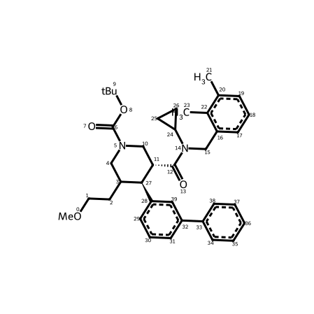 COCCC1CN(C(=O)OC(C)(C)C)C[C@H](C(=O)N(Cc2cccc(C)c2C)C2CC2)[C@H]1c1cccc(-c2ccccc2)c1